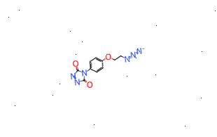 [N-]=[N+]=NCCOc1ccc(N2C(=O)N=NC2=O)cc1